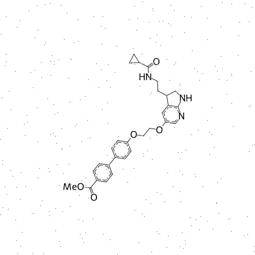 COC(=O)c1ccc(-c2ccc(OCCOc3cnc4c(c3)C(CCNC(=O)C3CC3)CN4)cc2)cc1